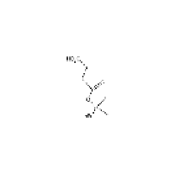 CCCC[Si](C)(C)OC(=O)CCC(=O)O